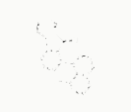 C=C1c2ccccc2-c2cccc(-c3cccc4cccc(Cl)c34)c21